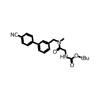 CN(Cc1cccc(-c2ccc(C#N)cc2)c1)C(=O)CNC(=O)OC(C)(C)C